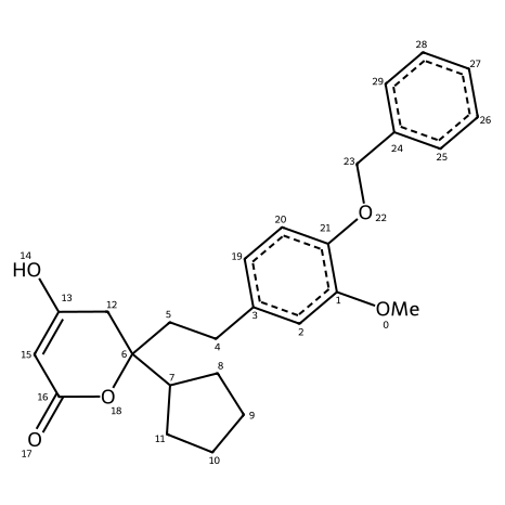 COc1cc(CCC2(C3CCCC3)CC(O)=CC(=O)O2)ccc1OCc1ccccc1